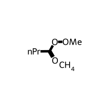 C.CCCC(=O)OOC